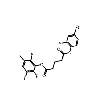 CCc1ccc(OC(=O)CCCC(=O)Oc2c(F)c(C)cc(F)c2F)c(F)c1